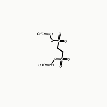 O=CNOS(=O)(=O)CCS(=O)(=O)ONC=O